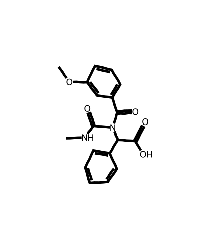 CNC(=O)N(C(=O)c1cccc(OC)c1)C(C(=O)O)c1ccccc1